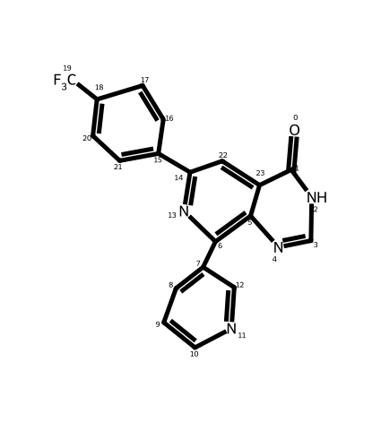 O=c1[nH]cnc2c(-c3cccnc3)nc(-c3ccc(C(F)(F)F)cc3)cc12